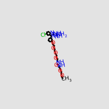 CCOCCOCCNC(=O)NCCOCCOCCOCCOc1cccc(-c2nc(NC(=N)N)nc3ccc(Cl)cc23)c1